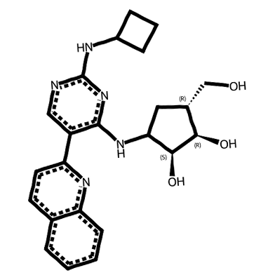 OC[C@H]1CC(Nc2nc(NC3CCC3)ncc2-c2ccc3ccccc3n2)[C@H](O)[C@@H]1O